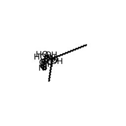 CCCCCCCCCCCCCCCCCCCCCCCCCC(=O)N[C@@H](CO[C@@H]1O[C@H](COC(=O)Nc2ccnc3ccccc23)[C@H](O)[C@H](O)[C@H]1O)[C@H](O)[C@H](O)CCCCCCCCCCCCCC